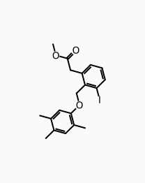 COC(=O)Cc1cccc(I)c1COc1cc(C)c(C)cc1C